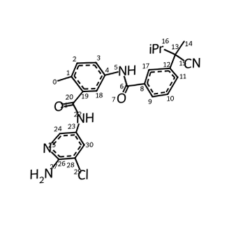 Cc1ccc(NC(=O)c2cccc(C(C)(C#N)C(C)C)c2)cc1C(=O)Nc1cnc(N)c(Cl)c1